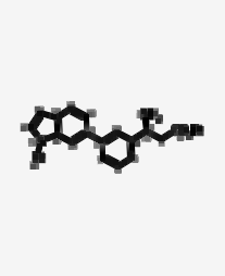 CCOC(=O)C[C@H](N)c1cccc(-c2ccc3ccn(CC)c3c2)c1